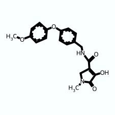 COc1ccc(Oc2ccc(CNC(=O)C3=C(O)C(=O)N(C)C3)cc2)cc1